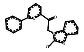 O=C(Cn1c(Cl)nc2ccccc21)c1cccc(-c2ccccc2)n1